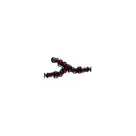 [C-]#[N+]c1ccc(-c2ccc(OC(=O)c3ccc(OCCOC(=O)C(C#N)(CCC(=O)OCCOCCOc4ccc(C(=O)Oc5ccc(C#Cc6ccc(C#N)cc6)cc5F)cc4)CCC(=O)OCCOCCOc4ccc(C(=O)Oc5ccc(C#Cc6ccc(C#N)cc6)cc5F)cc4)cc3)cc2)cc1